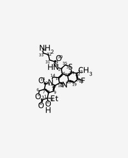 CC[C@@]1(O)C(=O)OCc2c1cc1n(c2=O)Cc2c-1nc1cc(F)c(C)c3c1c2[C@@H](NC(=O)CCCN)CS3